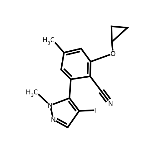 Cc1cc(OC2CC2)c(C#N)c(-c2c(I)cnn2C)c1